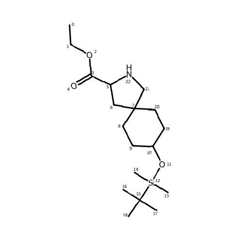 CCOC(=O)C1CC2(CCC(O[Si](C)(C)C(C)(C)C)CC2)CN1